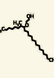 CCCCCCCCCCCCCCC(OCCO)C(C)CCCCCC